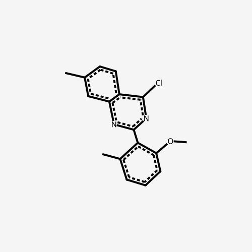 COc1cccc(C)c1-c1nc(Cl)c2ccc(C)cc2n1